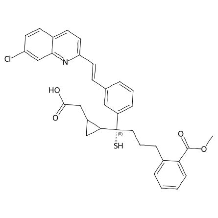 COC(=O)c1ccccc1CCC[C@](S)(c1cccc(C=Cc2ccc3ccc(Cl)cc3n2)c1)C1CC1CC(=O)O